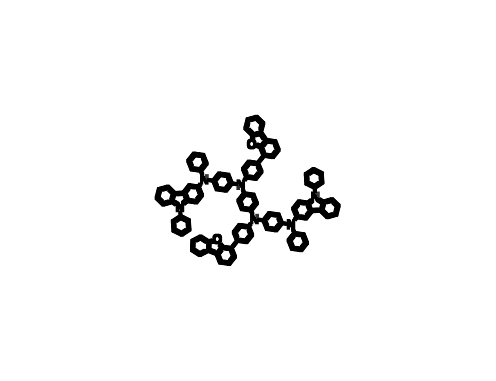 c1ccc(N(c2ccc(N(c3ccc(-c4cccc5c4oc4ccccc45)cc3)c3ccc(N(c4ccc(-c5cccc6c5oc5ccccc56)cc4)c4ccc(N(c5ccccc5)c5ccc6c(c5)c5ccccc5n6-c5ccccc5)cc4)cc3)cc2)c2ccc3c(c2)c2ccccc2n3-c2ccccc2)cc1